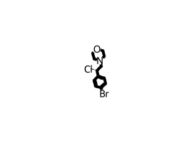 Cl[C@H](CN1CCOCC1)c1ccc(Br)cc1